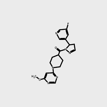 COc1cc(N2CCC(C(=O)N3N=CCC3c3cncc(F)c3)CC2)ncn1